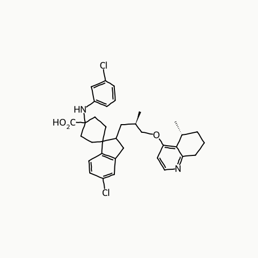 C[C@@H](COc1ccnc2c1[C@H](C)CCC2)CC1Cc2cc(Cl)ccc2C12CCC(Nc1cccc(Cl)c1)(C(=O)O)CC2